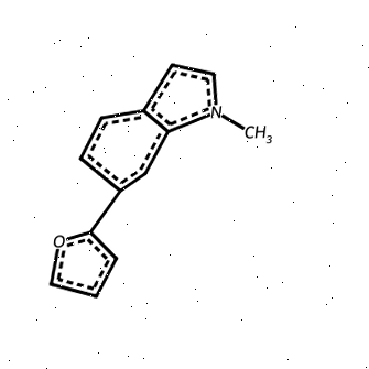 Cn1ccc2ccc(-c3ccco3)cc21